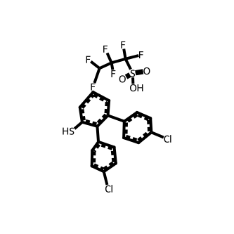 O=S(=O)(O)C(F)(F)C(F)(F)C(F)F.Sc1cccc(-c2ccc(Cl)cc2)c1-c1ccc(Cl)cc1